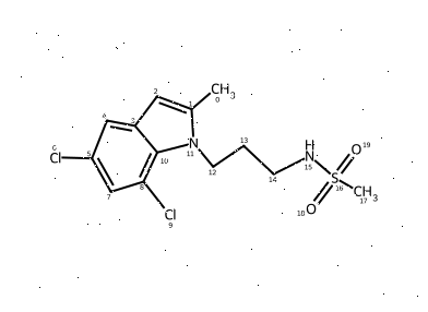 Cc1cc2cc(Cl)cc(Cl)c2n1CCCNS(C)(=O)=O